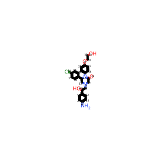 Nc1ccc(C(O)CN2CC(=O)N(c3ccc(OCCO)cc3)C(c3ccc(Cl)cc3)C2)cc1